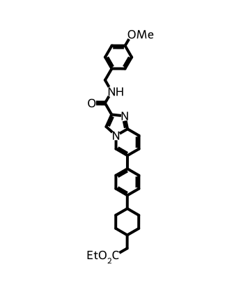 CCOC(=O)CC1CCC(c2ccc(-c3ccc4nc(C(=O)NCc5ccc(OC)cc5)cn4c3)cc2)CC1